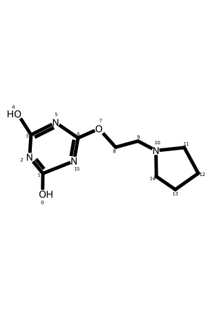 Oc1nc(O)nc(OCCN2CCCC2)n1